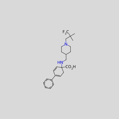 CC(C)(CN1CCC(CNC2(C(=O)O)C=CC(c3ccccc3)=CC2)CC1)C(F)(F)F